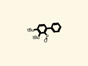 CC(C)(C)c1ccc(-c2ccccc2)c(P=O)c1C(C)(C)C